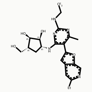 CCc1cc2cc(-c3c(C)nc(NCC(F)(F)F)nc3N[C@@H]3C[C@H](CO)[C@@H](O)[C@H]3O)oc2cn1